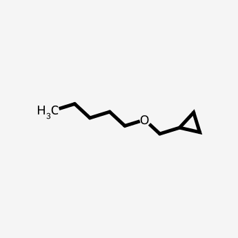 CCCCCOCC1CC1